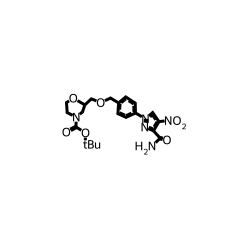 CC(C)(C)OC(=O)N1CCOC(COCc2ccc(-n3cc([N+](=O)[O-])c(C(N)=O)n3)cc2)C1